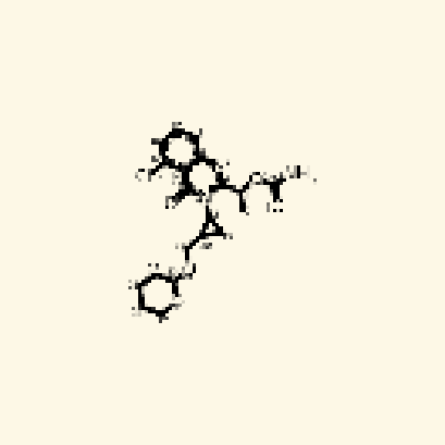 CC(OC(N)=O)c1nc2cccc(Cl)c2c(=O)n1C1CC1COC1CCCCO1